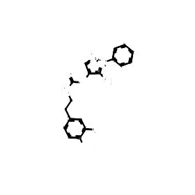 Cc1ccc(CCNC(=O)Oc2cnn(-c3ccccc3)c2C(F)(F)F)cc1C